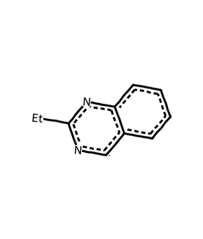 CCc1n[c]c2ccccc2n1